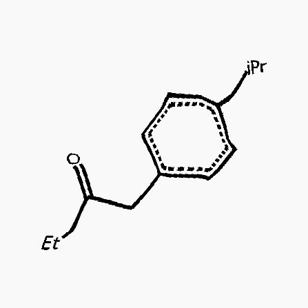 CCC(=O)Cc1ccc(C(C)C)cc1